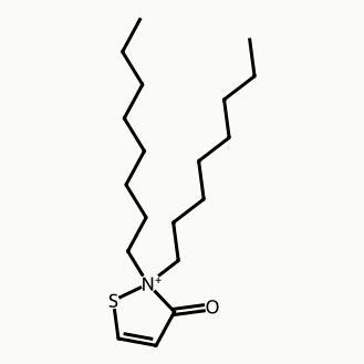 CCCCCCCC[N+]1(CCCCCCCC)SC=CC1=O